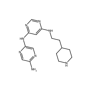 Nc1cnc(Nc2cc(NCCC3CCNCC3)ncn2)cn1